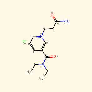 CCN(CC)C(=O)c1ccc[n+](CCC(N)=O)c1.[Cl-]